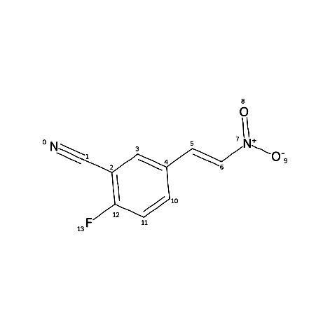 N#Cc1cc(C=C[N+](=O)[O-])ccc1F